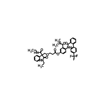 CCNC(=O)C(COCCC(=O)Oc1ccc(NC(=O)c2ccccc2-c2ccc(C(F)(F)F)cc2)c(C(=O)N(C)C)c1)(C(=O)NCC)c1ccccc1